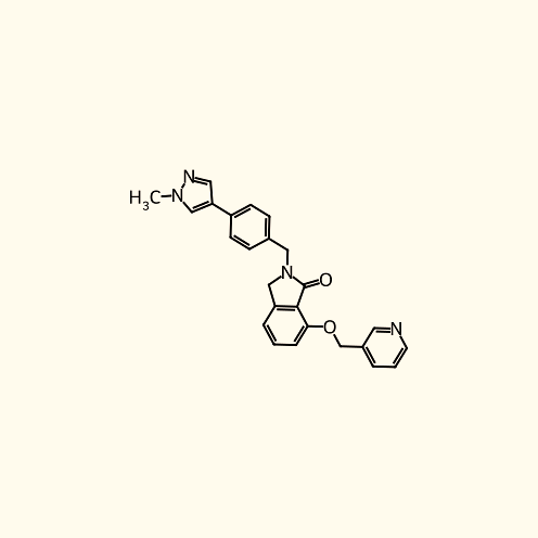 Cn1cc(-c2ccc(CN3Cc4cccc(OCc5cccnc5)c4C3=O)cc2)cn1